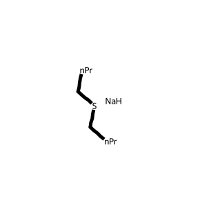 CCCCSCCCC.[NaH]